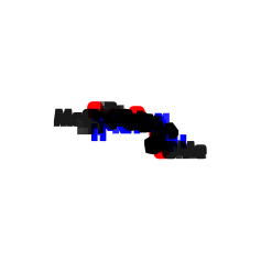 CCCN(Cc1nc2ccc3c4c(ccc3c2[nH]1)-c1ccc(-c2cnc([C@@H]3CCCN3C(=O)[C@H](NC(=O)OC)c3ccccc3)[nH]2)cc1CO4)C(=O)[C@@H](NC(=O)OC)C(C)C